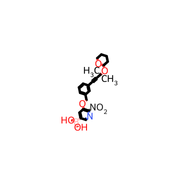 CC(C)(C#Cc1cccc(COc2cc(B(O)O)cnc2[N+](=O)[O-])c1)OC1CCCCO1